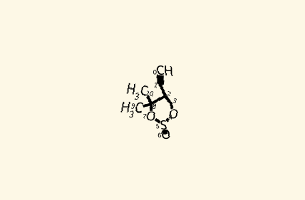 C#CC1COS(=O)OC1(C)C